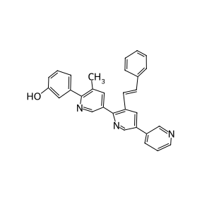 Cc1cc(-c2ncc(-c3cccnc3)cc2C=Cc2ccccc2)cnc1-c1cccc(O)c1